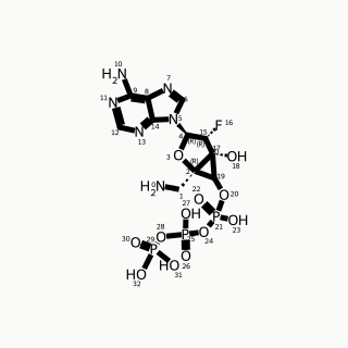 NC[C@]12O[C@@H](n3cnc4c(N)ncnc43)[C@H](F)[C@@]1(O)C2OP(=O)(O)OP(=O)(O)OP(=O)(O)O